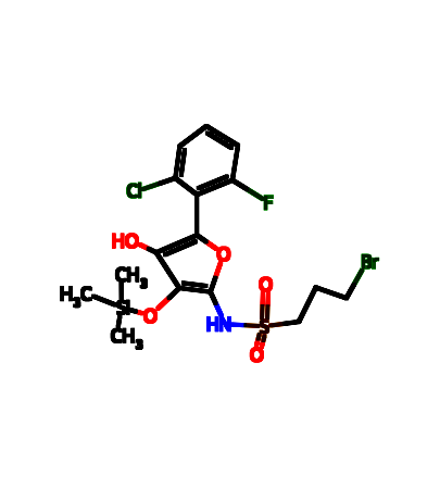 C[Si](C)(C)Oc1c(NS(=O)(=O)CCCBr)oc(-c2c(F)cccc2Cl)c1O